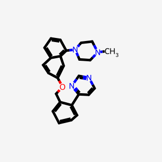 CN1CCN(c2cccc3ccc(OCc4ccccc4-c4ccncn4)cc23)CC1